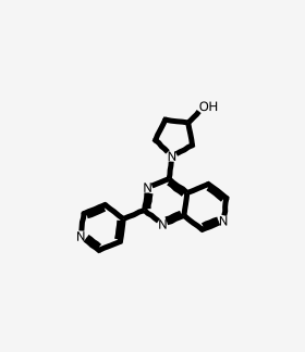 OC1CCN(c2nc(-c3ccncc3)nc3cnccc23)C1